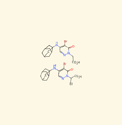 CCC(C(=O)O)n1ncc(NC23CC4CC(CC2C4)C3)c(Br)c1=O.O=C(O)Cn1ncc(NC23CC4CC(CC2C4)C3)c(Br)c1=O